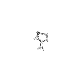 Nc1cc[c]o1